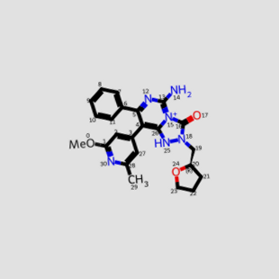 COc1cc(-c2c(-c3ccccc3)nc(N)[n+]3c(=O)n(C[C@H]4CCCO4)[nH]c23)cc(C)n1